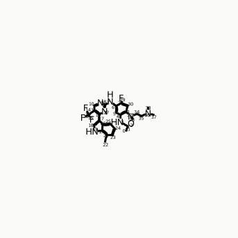 CC(=O)Nc1cc(Nc2ncc(C(F)(F)F)c(-c3c[nH]c4c(C)cccc34)n2)c(F)cc1N(C)CCN(C)C